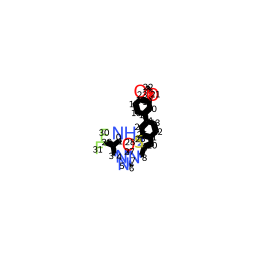 NCC(Cn1ncn(Cc2cc3ccc(-c4ccc5c(c4)OCO5)cc3s2)c1=O)=C(F)F